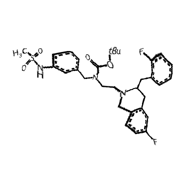 CC(C)(C)OC(=O)N(CCN1Cc2ccc(F)cc2CC1Cc1ccccc1F)Cc1cccc(NS(C)(=O)=O)c1